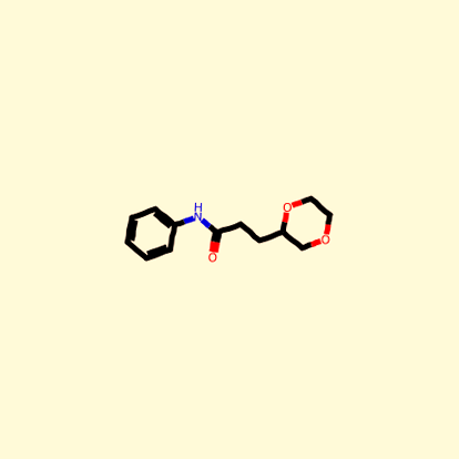 O=C(CCC1COCCO1)Nc1ccccc1